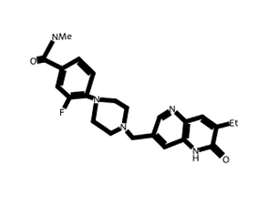 CCc1cc2ncc(CN3CCN(c4ccc(C(=O)NC)cc4F)CC3)cc2[nH]c1=O